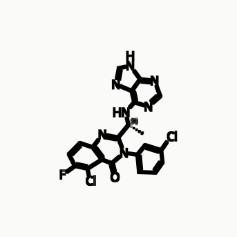 C[C@@H](Nc1ncnc2[nH]cnc12)c1nc2ccc(F)c(Cl)c2c(=O)n1-c1cccc(Cl)c1